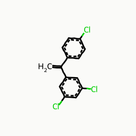 C=C(c1ccc(Cl)cc1)c1cc(Cl)cc(Cl)c1